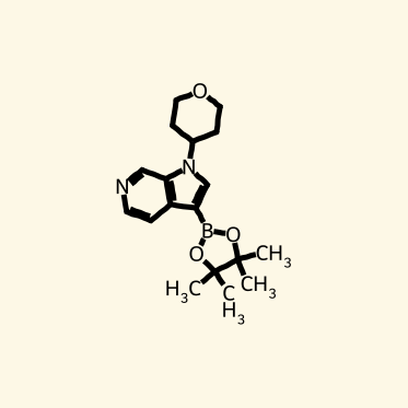 CC1(C)OB(c2cn(C3CCOCC3)c3cnccc23)OC1(C)C